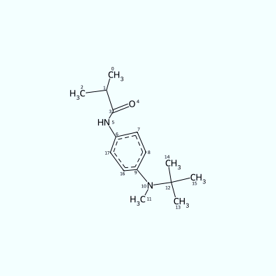 CC(C)C(=O)Nc1ccc(N(C)C(C)(C)C)cc1